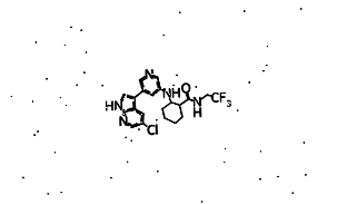 O=C(NCC(F)(F)F)C1CCCCC1Nc1cncc(-c2c[nH]c3ncc(Cl)cc23)c1